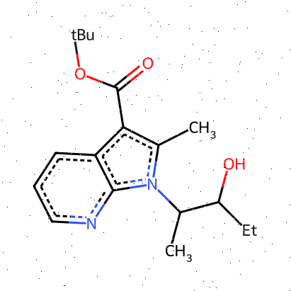 CCC(O)C(C)n1c(C)c(C(=O)OC(C)(C)C)c2cccnc21